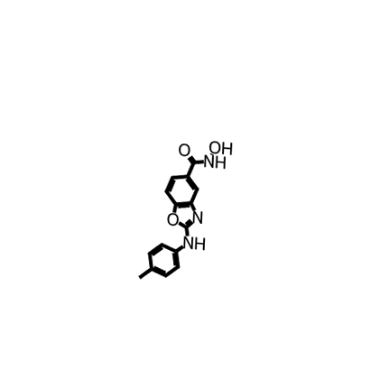 Cc1ccc(Nc2nc3cc(C(=O)NO)ccc3o2)cc1